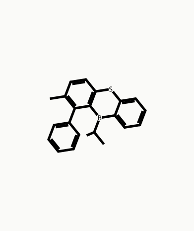 Cc1ccc2c(c1-c1ccccc1)B(C(C)C)c1ccccc1S2